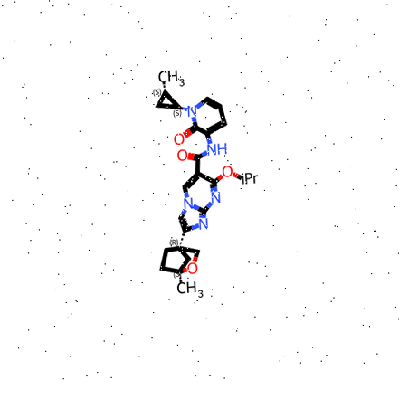 CC(C)Oc1nc2nc([C@@]34CC[C@@](C)(C3)OC4)cn2cc1C(=O)Nc1cccn([C@H]2C[C@@H]2C)c1=O